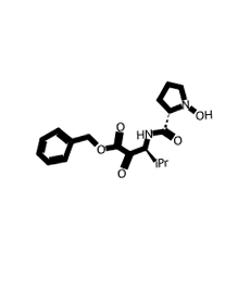 CC(C)[C@H](NC(=O)[C@@H]1CCCN1O)C(=O)C(=O)OCc1ccccc1